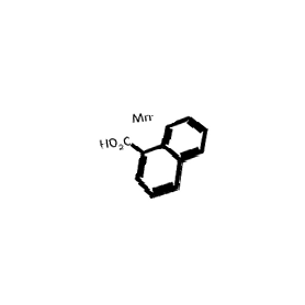 O=C(O)c1cccc2ccccc12.[Mn]